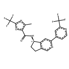 Cc1nc(C(F)(F)F)oc1C(=O)N[C@@H]1CCc2cnc(-c3ccnc(C(F)(F)F)c3)cc21